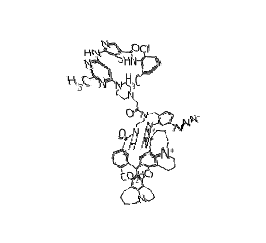 Cc1nc(Nc2ncc(C(=O)Nc3c(C)cccc3Cl)s2)cc(N2CCN(CC(=O)N(CCNC(=O)c3ccc(C(=O)O)c(C4=c5cc6c7c(c5Oc5c4cc4c8c5CCCN8CCCC4)CCC[N+]=7CCCC6)c3)Cc3ccc(N=[N+]=[N-])cc3N=[N+]=[N-])CC2)n1